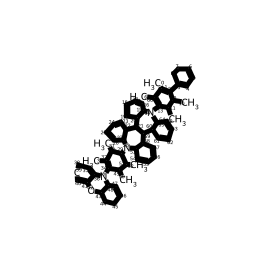 CC1=C(C2=CC=CCC2)C(C)C(C)C(N2C3C=CC=CC3C3C4C=CC=CC4N(C4C(C)C(C)=C(N5C6=CCCC=C6OC6CCC=CC65)C(C)C4C)C4C=CC=CC4C3C3C=CC=CC32)=C1C